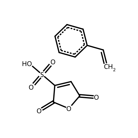 C=Cc1ccccc1.O=C1C=C(S(=O)(=O)O)C(=O)O1